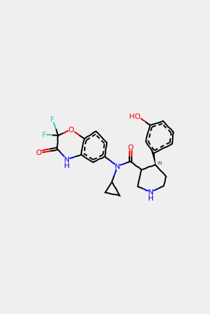 O=C(C1CNCC[C@@H]1c1cccc(O)c1)N(c1ccc2c(c1)NC(=O)C(F)(F)O2)C1CC1